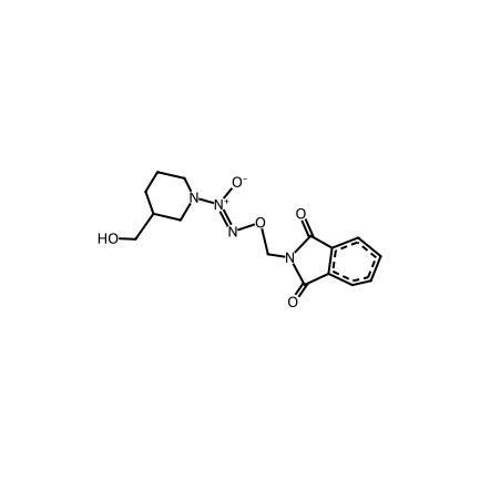 O=C1c2ccccc2C(=O)N1CO/N=[N+](\[O-])N1CCCC(CO)C1